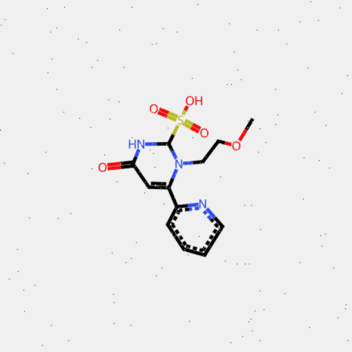 COCCN1C(c2ccccn2)=CC(=O)NC1S(=O)(=O)O